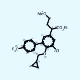 CCOC(=O)C(CCOC)c1cc(Cl)c(OCC2CC2)c(-c2ccc(C(F)(F)F)cc2)c1